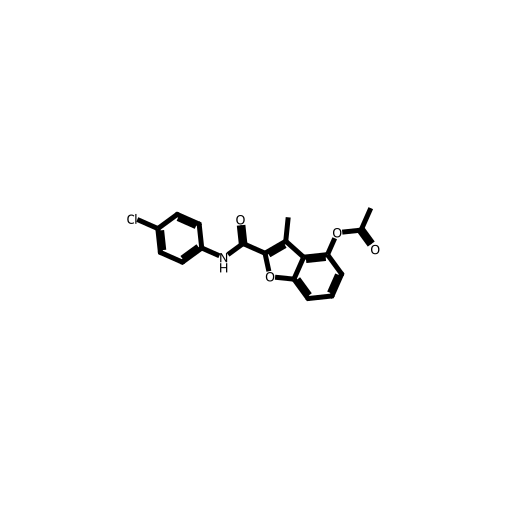 CC(=O)Oc1cccc2oc(C(=O)Nc3ccc(Cl)cc3)c(C)c12